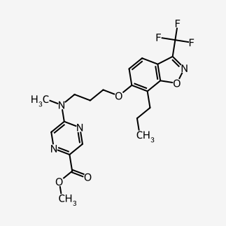 CCCc1c(OCCCN(C)c2cnc(C(=O)OC)cn2)ccc2c(C(F)(F)F)noc12